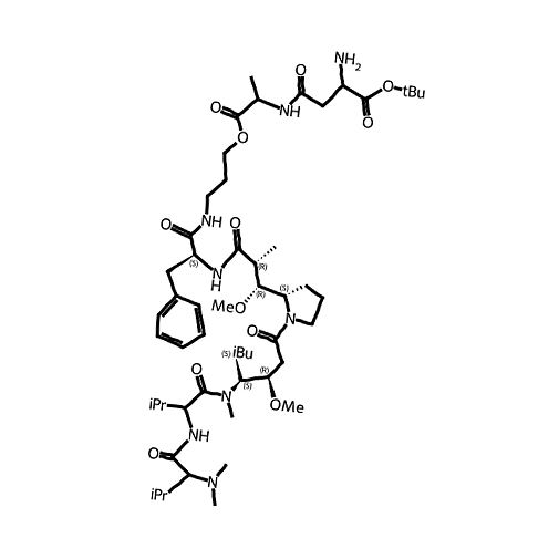 CC[C@H](C)[C@@H]([C@@H](CC(=O)N1CCC[C@H]1[C@H](OC)[C@@H](C)C(=O)N[C@@H](Cc1ccccc1)C(=O)NCCCOC(=O)C(C)NC(=O)CC(N)C(=O)OC(C)(C)C)OC)N(C)C(=O)C(NC(=O)C(C(C)C)N(C)C)C(C)C